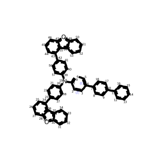 C=C(/C=C\C(=C/C)c1ccc(-c2ccccc2)cc1)N(c1ccc(-c2cccc3oc4ccccc4c23)cc1)c1ccc(-c2cccc3oc4ccccc4c23)cc1